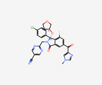 Cn1cnc(C(=O)c2cc(F)c3c(c2)C(=O)N(Cc2ncc(C#N)cn2)[C@@]3(O[C@H]2CCOC2)c2ccc(Cl)cc2)c1